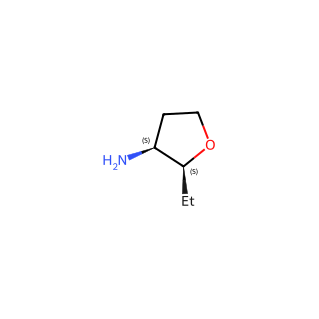 CC[C@@H]1OCC[C@@H]1N